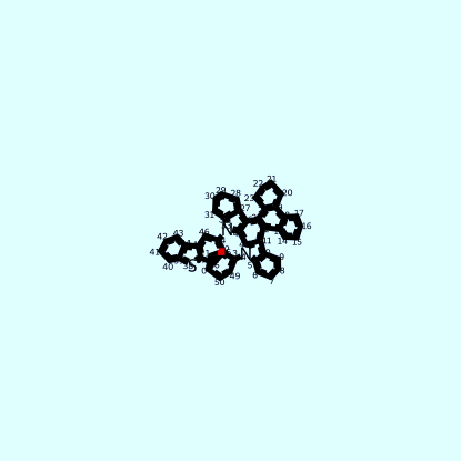 c1ccc(-n2c3ccccc3c3c4c5ccccc5c5ccccc5c4c4c5ccccc5n(-c5ccc6sc7ccccc7c6c5)c4c32)cc1